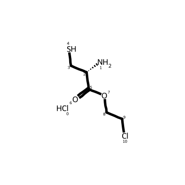 Cl.N[C@@H](CS)C(=O)OCCCl